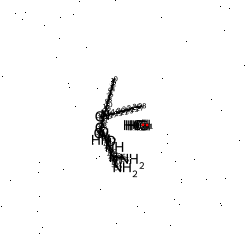 CCCCCCCCCCCCCCN(CCCCCCCCCCCCCC)C(=O)CCCOC1OCC(CNC(=O)CNCCCN(CCCN)CCCN)O1.Cl.Cl.Cl.Cl